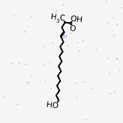 CC(C/C=C/CCCCCCCCCCCCCO)C(=O)O